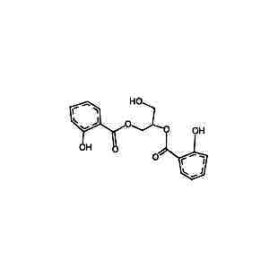 O=C(OCC(CO)OC(=O)c1ccccc1O)c1ccccc1O